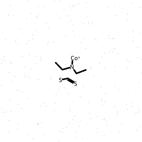 CC[N]([Co+])CC.S=C[S-]